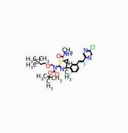 CNC(=O)[C@]12C[C@H]1[C@@](C)(c1cc(/C=C(\F)c3cnc(Cl)cn3)ccc1F)N=C(N(COCC[Si](C)(C)C)C(=O)OC(C)(C)C)S2